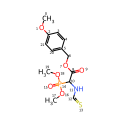 COc1ccc(COC(=O)C(NC=S)P(=O)(OC)OC)cc1